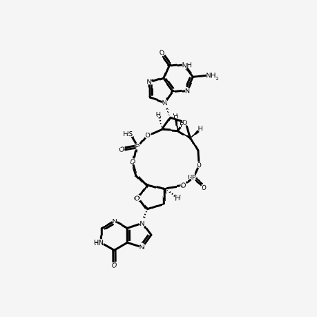 Nc1nc2c(ncn2[C@@H]2O[C@@H]3CO[PH](=O)O[C@H]4C[C@H](n5cnc6c(=O)[nH]cnc65)OC4COP(=O)(S)O[C@@H]2[C@@H]3F)c(=O)[nH]1